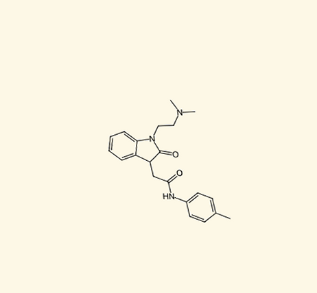 Cc1ccc(NC(=O)CC2C(=O)N(CCN(C)C)c3ccccc32)cc1